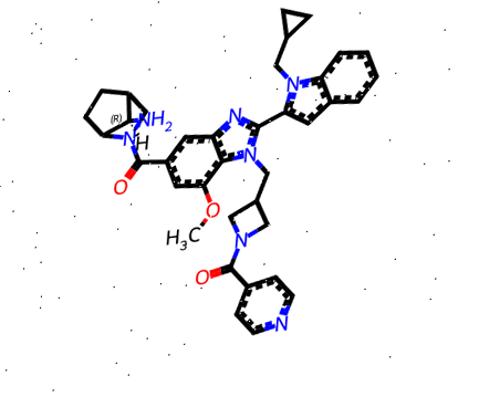 COc1cc(C(=O)N2CC3CCC2[C@@H]3N)cc2nc(-c3cc4ccccc4n3CC3CC3)n(CC3CN(C(=O)c4ccncc4)C3)c12